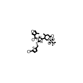 Cc1cocc1C(=O)n1nc(C2CN(S(=O)(=O)N(C)C)C(=O)CC2C)nc1SCc1ccc(Cl)s1